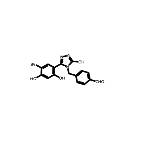 CC(C)c1cc(-c2nnc(O)n2Cc2ccc(C=O)cc2)c(O)cc1O